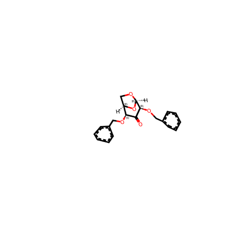 O=C1[C@@H](OCc2ccccc2)[C@H]2CO[C@H](O2)[C@H]1OCc1ccccc1